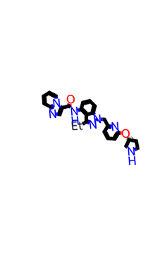 CCc1nn(Cc2cccc(O[C@H]3CCNC3)n2)c2cccc(NC(=O)c3cnc4ccccn34)c12